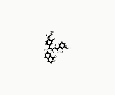 Cc1cc(C(Nc2ccc3cc[nH]c(=O)c3c2)C(=O)N[C@H](C=O)c2cccc(N=O)c2)ccc1[C@@H](C)CO